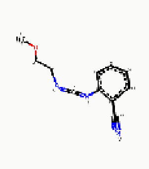 COCCN=C=Nc1ccccc1C#N